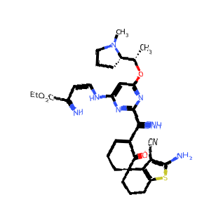 CCOC(=O)C(=N)/C=C\Nc1cc(O[C@@H](C)[C@@H]2CCCN2C)nc(C(=N)C2CCC[C@@]3(CCCc4sc(N)c(C#N)c43)C2=O)n1